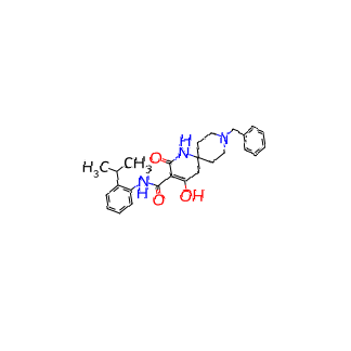 CC(C)c1ccccc1NC(=O)C1=C(O)CC2(CCN(Cc3ccccc3)CC2)NC1=O